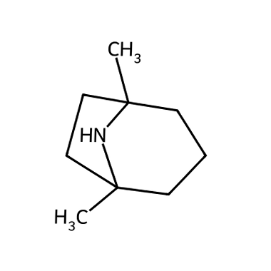 CC12CCCC(C)(CC1)N2